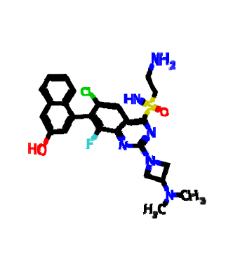 CN(C)C1CN(c2nc(S(=N)(=O)CCN)c3cc(Cl)c(-c4cc(O)cc5ccccc45)c(F)c3n2)C1